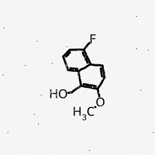 COc1ccc2c(F)cccc2c1CO